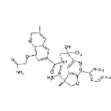 Cc1cnc2c(OCC(N)=O)cc(C(=O)NCC(O)(c3cc4c(c(-c5ccc(F)cc5)n3)OC[C@]4(C)C(N)=O)C(F)(F)F)cc2c1